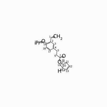 C=Cc1cc(CCC(=O)OC2C3C=C[C@H]2CC3)ccc1OC(C)C